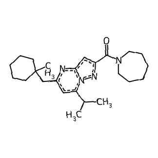 CC(C)c1cc(CC2(C)CCCCC2)nc2cc(C(=O)N3CCCCCC3)nn12